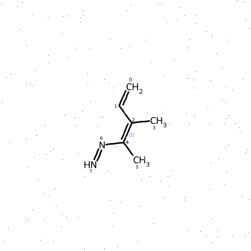 C=C/C(C)=C(/C)N=N